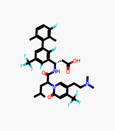 Cc1ccc(F)c(C)c1-c1cc(C(F)(F)F)c(F)c([C@H](CC(=O)O)NC(=O)C(CC(C)C)n2cc(CCN(C)C)c(C(F)(F)F)cc2=O)c1F